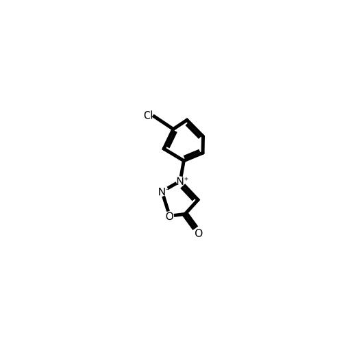 O=c1c[n+](-c2cccc(Cl)c2)[n-]o1